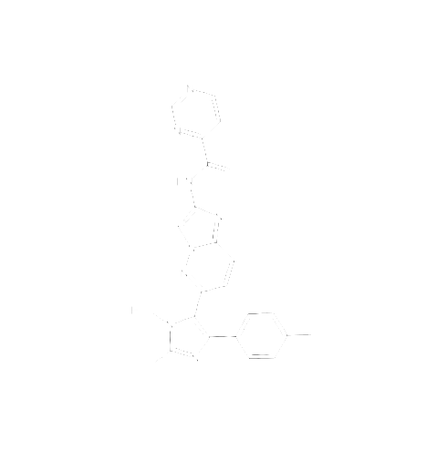 Cc1nc(-c2ccc(F)cc2)c(-c2ccc3nc(NC(=O)c4ccncn4)cn3n2)n1C